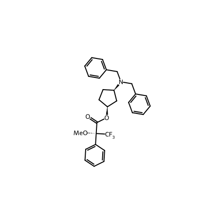 CO[C@@](C(=O)O[C@H]1CC[C@@H](N(Cc2ccccc2)Cc2ccccc2)C1)(c1ccccc1)C(F)(F)F